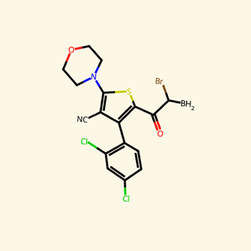 BC(Br)C(=O)c1sc(N2CCOCC2)c(C#N)c1-c1ccc(Cl)cc1Cl